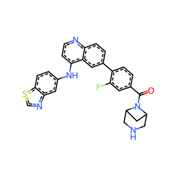 O=C(c1ccc(-c2ccc3nccc(Nc4ccc5scnc5c4)c3c2)c(F)c1)N1C2CNCC1C2